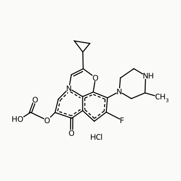 CC1CN(c2c(F)cc3c(=O)c(OC(=O)O)cn4c3c2OC(C2CC2)=C4)CCN1.Cl